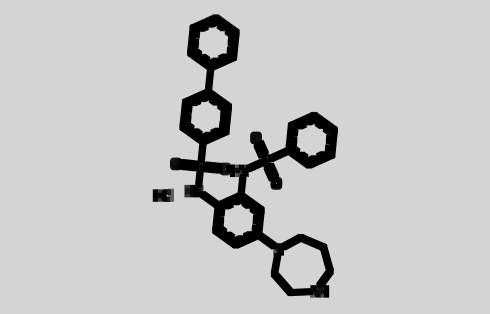 Cl.O=S(=O)(Nc1ccc(N2CCCNCC2)cc1NS(=O)(=O)c1ccccc1)c1ccc(-c2ccccc2)cc1